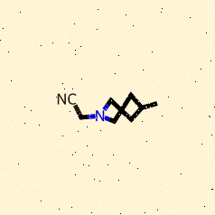 CC1CC2(C1)CN(CC#N)C2